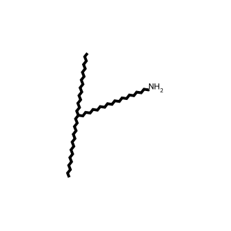 CCCCCCCCCCCCCCCCC(CCCCCCCCCCCCCCCC)CCCCCCCCCCCCCCCCCCCN